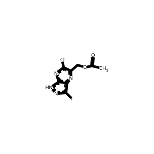 CC(=O)OCc1nc2c(I)n[nH]c2nc1Cl